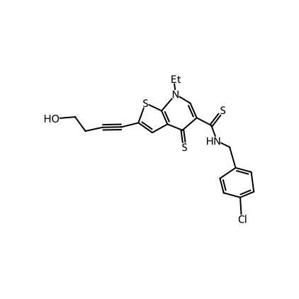 CCn1cc(C(=S)NCc2ccc(Cl)cc2)c(=S)c2cc(C#CCCO)sc21